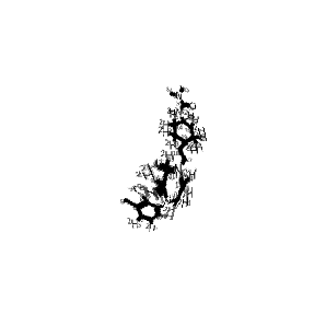 [2H]c1c([2H])c(C)c(Cl)c(N2C([2H])([2H])C([2H])([2H])N(CC[C@]3([2H])C([2H])([2H])C([2H])([2H])[C@@]([2H])(NC(=O)N(C)C)C([2H])([2H])C3([2H])[2H])C([2H])([2H])C2([2H])[2H])c1[2H]